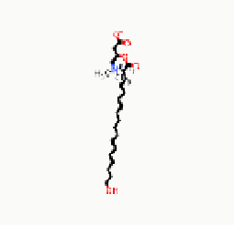 C[N+](C)(C)CC(CC(=O)[O-])OC(=O)CCCCCCCCCCCCCCCCCO